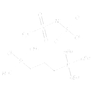 CCCC[P+](CCCC)(CCCC)CCC[Si](C)(C)Cl.O=S(=O)([N-]S(=O)(=O)C(F)(F)F)C(F)(F)F